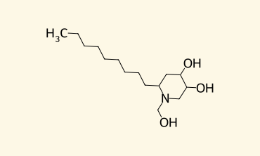 CCCCCCCCCC1CC(O)C(O)CN1CO